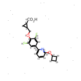 O=C(O)C1CC1COc1c(F)cc(-c2cccc(OC3CCC3)n2)cc1F